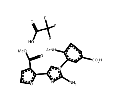 COC(=O)c1ccoc1-c1cn(-c2cc(C(=O)O)ccc2NC(C)=O)c(N)n1.O=C(O)C(F)(F)F